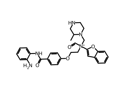 CC1CNCCN1C[N+](C=O)(CCOc1ccc(C(=O)Nc2ccccc2N)cc1)c1cc2ccccc2o1